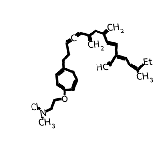 C#CC(=C\C=C(\C)CC)/C=C/C(=C)CC(=C)C=C=CCCC1=CC=C(OCCN(C)Cl)C=CC1